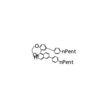 CCCCCc1ccc(-c2ccc3c(c2)=CC[C@@H]2OCCCOc4ccc5cc(-c6ccc(CCCCC)cc6)ccc5c4C=32)cc1